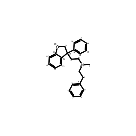 CN(CCc1ccccc1)CCC1(c2ccccc2)COc2ccccc21